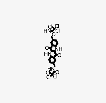 N=C(OCc1ccc2[nH]c3c(=O)c4cc(CNC(=O)C(Cl)(Cl)Cl)ccc4[nH]c3c(=O)c2c1)C(Cl)(Cl)Cl